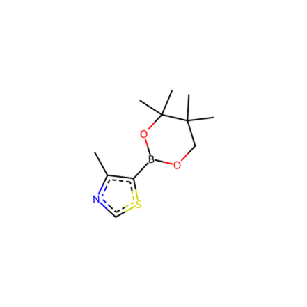 Cc1ncsc1B1OCC(C)(C)C(C)(C)O1